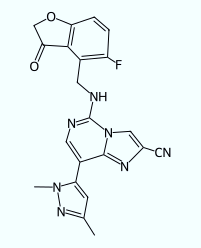 Cc1cc(-c2cnc(NCc3c(F)ccc4c3C(=O)CO4)n3cc(C#N)nc23)n(C)n1